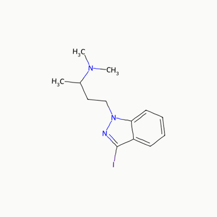 CC(CCn1nc(I)c2ccccc21)N(C)C